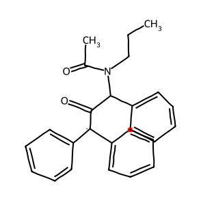 CCCN(C(C)=O)C(C(=O)[C](c1ccccc1)c1ccccc1)c1ccccc1